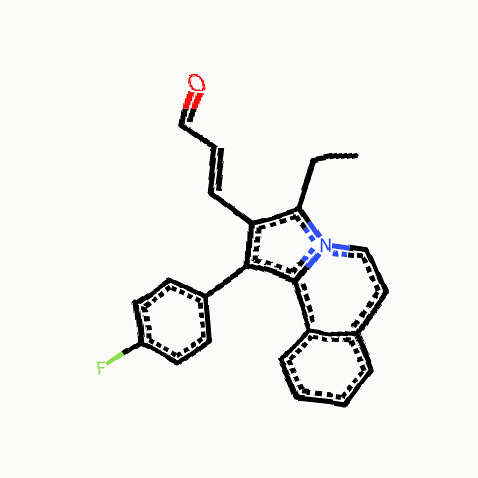 CCc1c(C=CC=O)c(-c2ccc(F)cc2)c2c3ccccc3ccn12